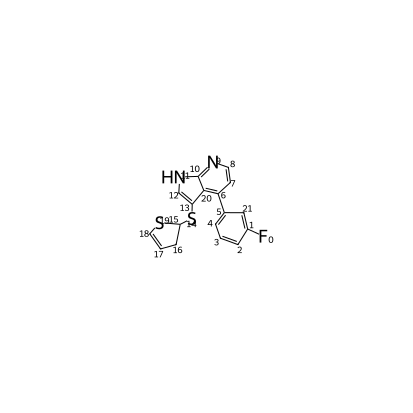 Fc1cccc(-c2ccnc3[nH]cc(SC4CC=CS4)c23)c1